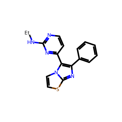 CCNc1nccc(-c2c(-c3ccccc3)nc3sccn23)n1